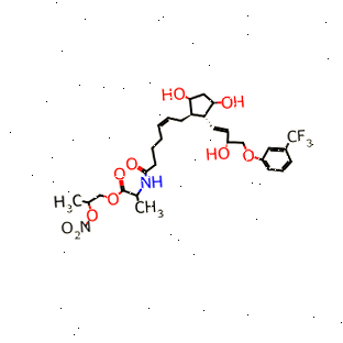 CC(COC(=O)C(C)NC(=O)CCC/C=C\C[C@@H]1[C@@H](/C=C/[C@@H](O)COc2cccc(C(F)(F)F)c2)[C@H](O)C[C@@H]1O)O[N+](=O)[O-]